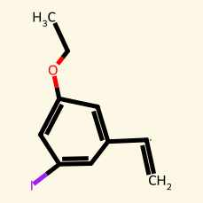 C=[C]c1cc(I)cc(OCC)c1